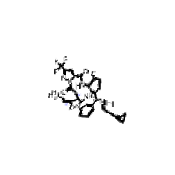 C=C(/C=c1/c(N)no/c1=C/C)n1nc(C(F)(F)F)cc1C(=O)Nc1cc(C(NCC2CC2)c2ccccc2)ccc1F